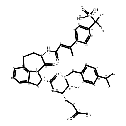 C/C(=C\C(=O)N[C@H]1CCc2cccc3c2N(C1=O)[C@H](C(=O)N[C@@H](CCC(N)=O)[C@@H](C)OCc1ccc(C(C)C)cc1)C3)c1ccc(C(F)(F)P(=O)(O)O)cc1